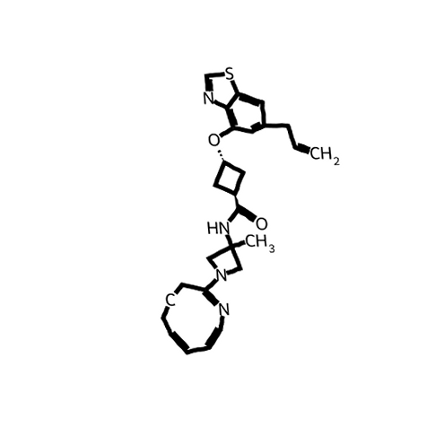 C=CCc1cc(O[C@H]2C[C@H](C(=O)NC3(C)CN(/C4=N/C=C\C=C/CCC4)C3)C2)c2ncsc2c1